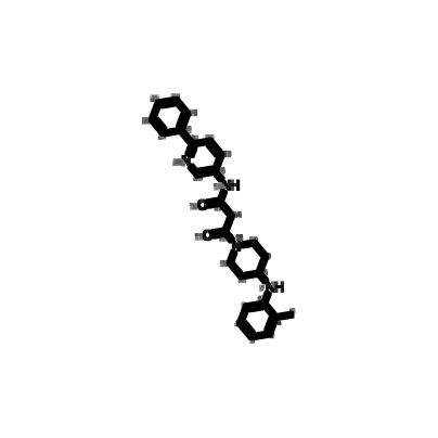 Cc1ccccc1NC1CCN(C(=O)CC(=O)Nc2ccc(-c3ccccc3)nc2)CC1